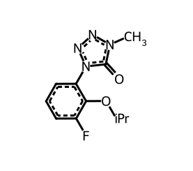 CC(C)Oc1c(F)cccc1-n1nnn(C)c1=O